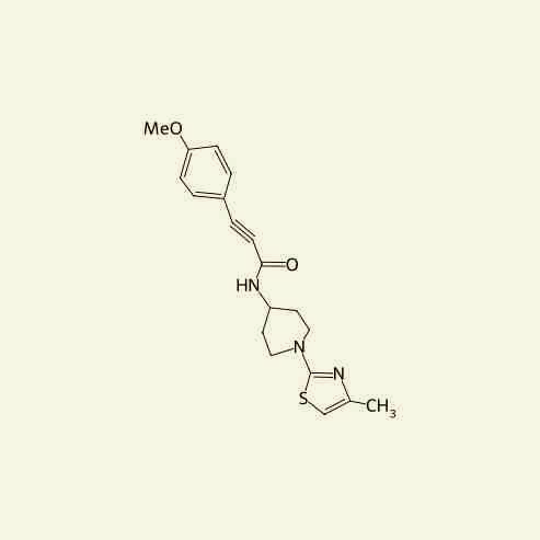 COc1ccc(C#CC(=O)NC2CCN(c3nc(C)cs3)CC2)cc1